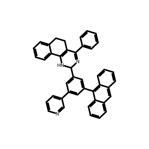 c1ccc(C2=NC(c3cc(-c4cccnc4)cc(-c4c5ccccc5cc5ccccc45)c3)NC3=C2CCc2ccccc23)cc1